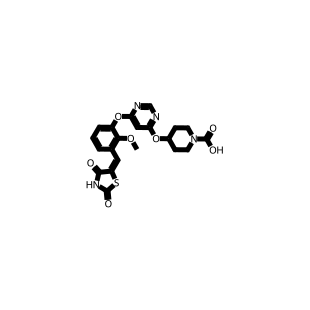 COc1c(C=C2SC(=O)NC2=O)cccc1Oc1cc(OC2CCN(C(=O)O)CC2)ncn1